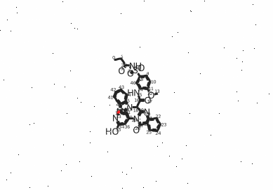 CCC(=O)NS(=O)(=O)c1ccc(OC)c(NC(=O)C(c2nc3ccccc3c(=O)n2-c2ccnc(O)c2)n2nnc3ccccc32)c1